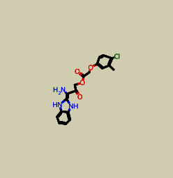 Cc1cc(OCC(=O)OCC(=O)C(N)=C2Nc3ccccc3N2)ccc1Cl